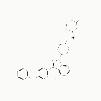 CN[C@@H](CC(C)C)C(C)(O)NC1CCC(n2nc(-c3ccc(Oc4ccccc4)cc3)c3c(N)ncnc32)CC1